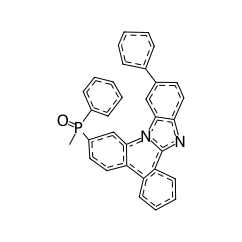 CP(=O)(c1ccccc1)c1ccc2c3ccccc3c3nc4ccc(-c5ccccc5)cc4n3c2c1